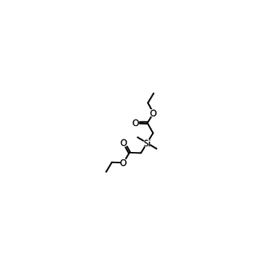 CCOC(=O)C[Si](C)(C)CC(=O)OCC